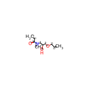 C=CC(=O)N(C)CC(O)COCCC